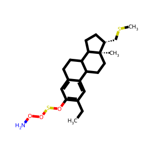 CCc1cc2c(cc1OSOON)CCC1C2CC[C@@]2(C)C1CC[C@@H]2CSC